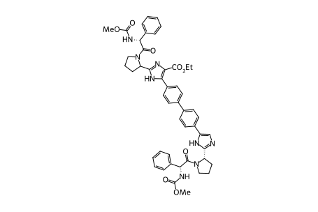 CCOC(=O)c1nc(C2CCCN2C(=O)[C@H](NC(=O)OC)c2ccccc2)[nH]c1-c1ccc(-c2ccc(-c3cnc([C@@H]4CCCN4C(=O)[C@H](NC(=O)OC)c4ccccc4)[nH]3)cc2)cc1